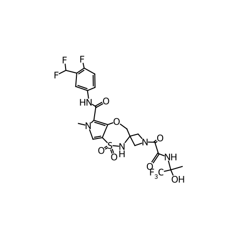 Cn1cc2c(c1C(=O)Nc1ccc(F)c(C(F)F)c1)OCC1(CN(C(=O)C(=O)NC(C)(O)C(F)(F)F)C1)NS2(=O)=O